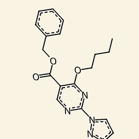 CCCCOc1nc(-n2cccn2)ncc1C(=O)OCc1ccccc1